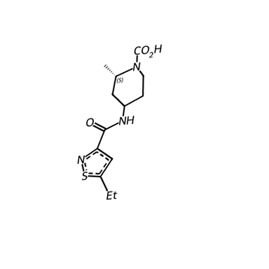 CCc1cc(C(=O)NC2CCN(C(=O)O)[C@@H](C)C2)ns1